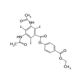 CCOC(=O)c1ccc(OC(=O)c2c(I)c(NC(C)=O)c(I)c(NC(C)=O)c2I)cc1